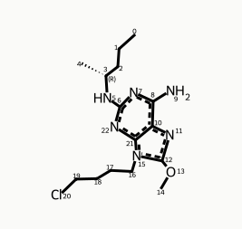 CCC[C@@H](C)Nc1nc(N)c2nc(OC)n(CCCCCl)c2n1